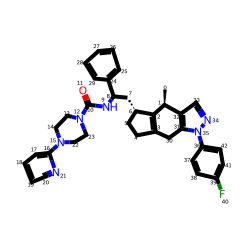 C[C@@H]1C2=C(CC[C@@H]2CC(NC(=O)N2CCN(c3ccccn3)CC2)c2ccccc2)Cc2c1cnn2-c1ccc(F)cc1